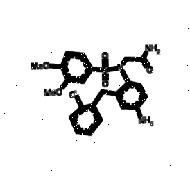 COc1ccc(S(=O)(=O)N(CC(N)=O)c2ccc(N)cc2Cc2ccccc2Cl)cc1OC